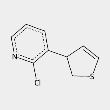 Clc1ncccc1C1C=CSC1